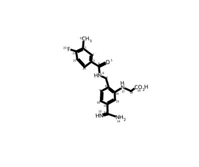 Cc1cc(C(=O)NCc2ccc(C(=N)N)cc2NCC(=O)O)ccc1F